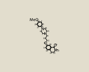 COc1ccc(N2CCN(CCCOc3ccc4c(c3)C(=O)N(C)CC4)CC2)cc1